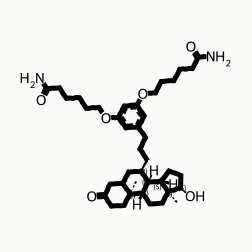 C[C@]12CC[C@H]3[C@@H]([C@H](CCCc4cc(OCCCCCC(N)=O)cc(OCCCCCC(N)=O)c4)CC4CC(=O)CC[C@@]43C)[C@@H]1CC[C@@H]2O